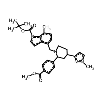 COC(=O)c1ccc(C2CC(c3ccn(C)n3)CCN2Cc2ccc(C)c3c2ccn3C(=O)OC(C)(C)C)cc1